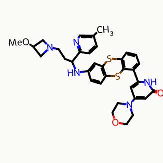 COC1CN(CCC(Nc2ccc3c(c2)Sc2cccc(-c4cc(N5CCOCC5)cc(=O)[nH]4)c2S3)c2ccc(C)cn2)C1